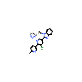 CCCn1c(-c2cnc(-c3ccc(C)nc3)c(Cl)c2)nc2ccccc21.CNN